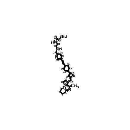 CC(OC1CCCCO1)c1nccn1Cc1cc(-c2ccc(C#Cc3ccc(CNCCNC(=O)OC(C)(C)C)nc3)cc2)on1